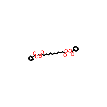 O=C(CCCCCCCCCCC(=O)OCOC(=O)c1ccccc1)OCOC(=O)c1ccccc1